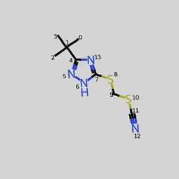 CC(C)(C)c1n[nH]c(SCSC#N)n1